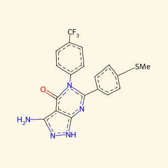 CSc1ccc(-c2nc3[nH]nc(N)c3c(=O)n2-c2ccc(C(F)(F)F)cc2)cc1